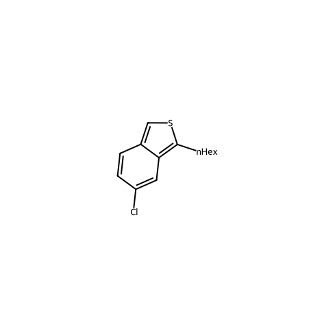 [CH2]CCCCCc1scc2ccc(Cl)cc12